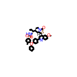 C=C[C@@H](CNS(=O)(=O)c1ccc(C)cc1)[C@H]1CCN2C(=O)S[C@@H](c3cc(-c4ccc(Oc5ccccc5)cc4)nc4ccc(OC)cc34)[C@@H]2C1